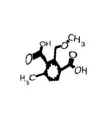 COCc1c(C(=O)O)ccc(C)c1C(=O)O